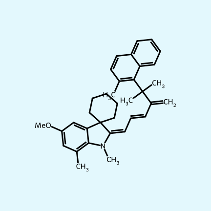 C=C(/C=C/C=C1/N(C)c2c(C)cc(OC)cc2C12CCCCC2)C(C)(C)c1c(C)ccc2ccccc12